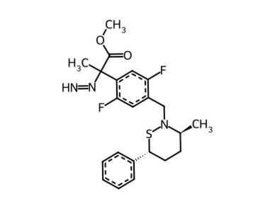 COC(=O)C(C)(N=N)c1cc(F)c(CN2S[C@@H](c3ccccc3)CC[C@@H]2C)cc1F